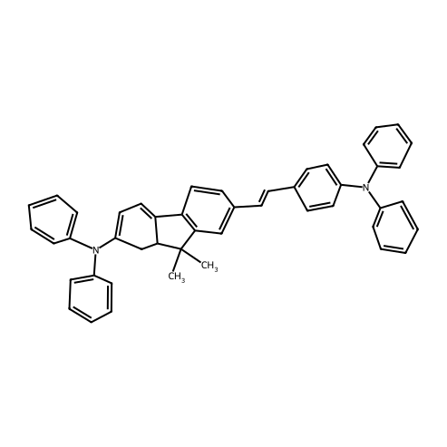 CC1(C)c2cc(/C=C/c3ccc(N(c4ccccc4)c4ccccc4)cc3)ccc2C2=CC=C(N(c3ccccc3)c3ccccc3)CC21